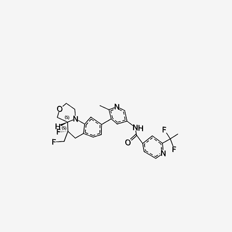 Cc1ncc(NC(=O)c2ccnc(C(C)(F)F)c2)cc1-c1ccc2c(c1)N1CCOC[C@H]1[C@](F)(CF)C2